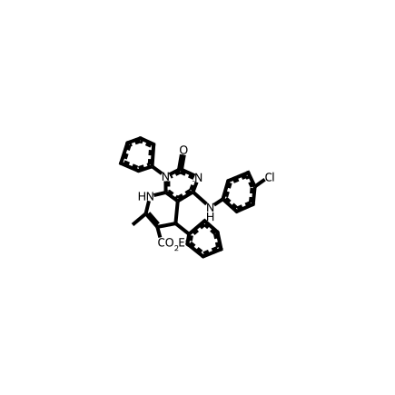 CCOC(=O)C1=C(C)Nc2c(c(Nc3ccc(Cl)cc3)nc(=O)n2-c2ccccc2)C1c1ccccc1